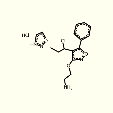 CCC(Cl)c1c(OCCN)noc1-c1ccccc1.Cl.c1c[nH]nn1